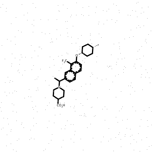 CC(c1ccc2ccc(O[C@H]3CC[C@@H](C)CC3)c(C(F)(F)F)c2c1)N1CCC(C(=O)O)CC1